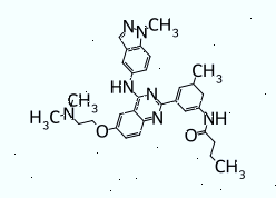 CCCC(=O)NC1=CC(c2nc(Nc3ccc4c(cnn4C)c3)c3cc(OCCN(C)C)ccc3n2)=CC(C)C1